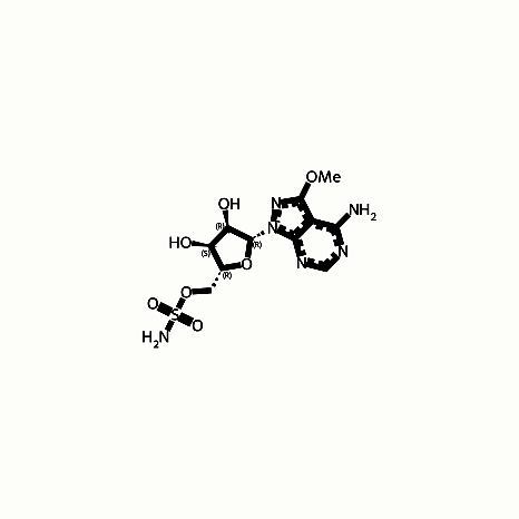 COc1nn([C@@H]2O[C@H](COS(N)(=O)=O)[C@@H](O)[C@H]2O)c2ncnc(N)c12